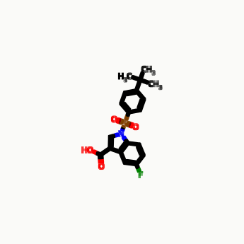 CC(C)(C)c1ccc(S(=O)(=O)n2cc(C(=O)O)c3cc(F)ccc32)cc1